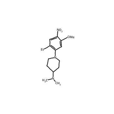 CCc1cc([N+](=O)[O-])c(OC)cc1N1CCC(N(C)C)CC1